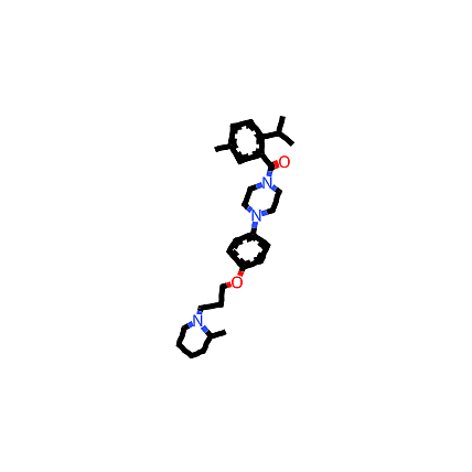 Cc1ccc(C(C)C)c(C(=O)N2CCN(c3ccc(OCCCN4CCCCC4C)cc3)CC2)c1